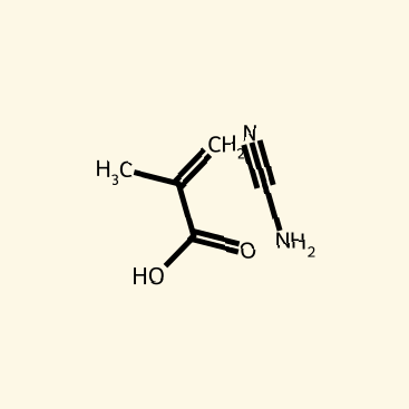 C=C(C)C(=O)O.N#CN